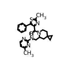 Cc1ccnc(NCC2CC3(CCN2C(=O)c2nc(C)sc2-c2ccccc2)CC3)n1